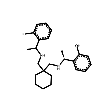 C[C@H](NCC1(CN[C@@H](C)c2ccccc2O)CCCCC1)c1ccccc1O